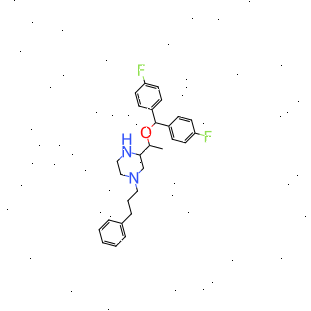 CC(OC(c1ccc(F)cc1)c1ccc(F)cc1)C1CN(CCCc2ccccc2)CCN1